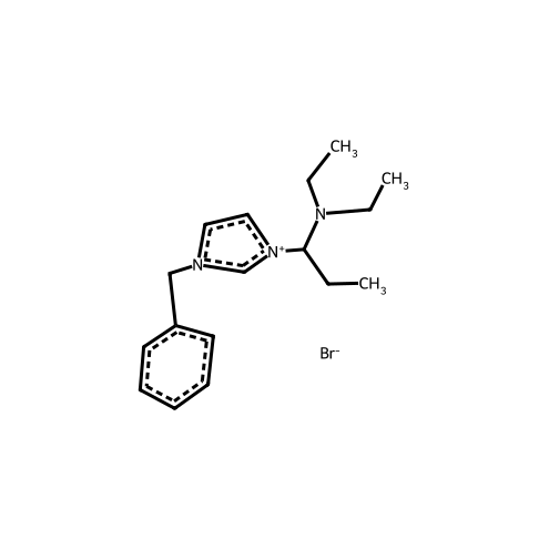 CCC(N(CC)CC)[n+]1ccn(Cc2ccccc2)c1.[Br-]